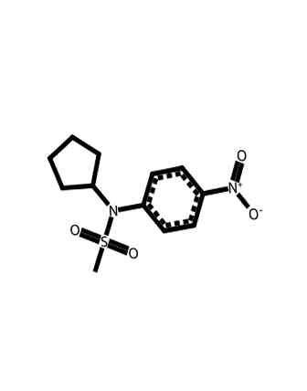 CS(=O)(=O)N(c1ccc([N+](=O)[O-])cc1)C1CCCC1